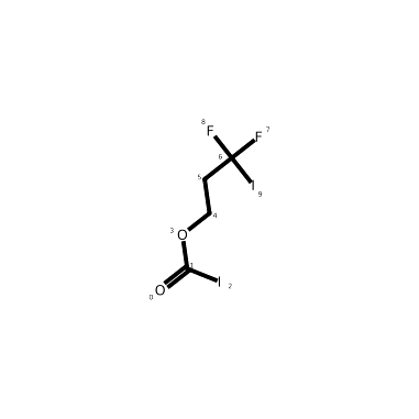 O=C(I)OCCC(F)(F)I